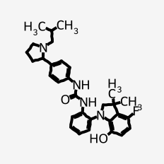 CC(C)CN1CCCC1c1ccc(NC(=O)Nc2ccccc2N2CC(C)(C)c3c(F)ccc(O)c32)cc1